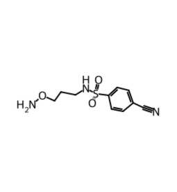 N#Cc1ccc(S(=O)(=O)NCCCON)cc1